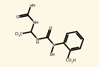 CCCC(=O)NC(NC(=O)N(S)c1ccccc1C(=O)O)C(Cl)(Cl)Cl